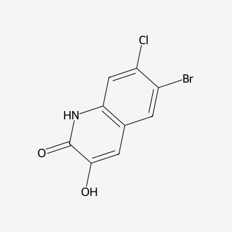 O=c1[nH]c2cc(Cl)c(Br)cc2cc1O